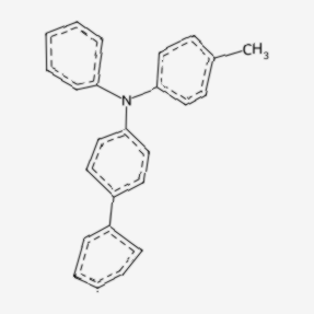 Cc1ccc(N(c2ccccc2)c2ccc(-c3cc[c]cc3)cc2)cc1